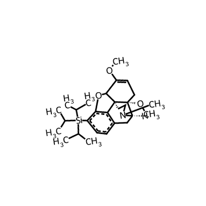 COC1=CC[C@@]2(OC)[C@H]3Cc4ccc([Si](C(C)C)(C(C)C)C(C)C)c5c4[C@@]2(CCN3C)C1O5